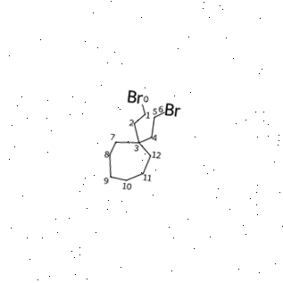 BrCCC1(CCBr)CCCCCC1